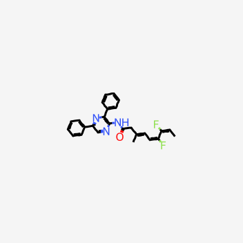 C\C=C(F)/C(F)=C\C=C(/C)CC(=O)Nc1ncc(-c2ccccc2)nc1-c1ccccc1